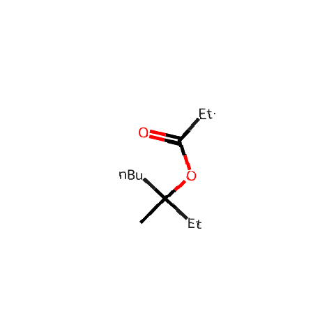 C[CH]C(=O)OC(C)(CC)CCCC